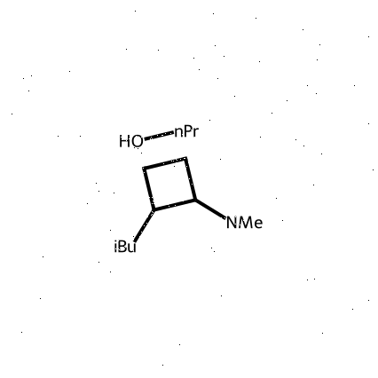 CCC(C)C1CCC1NC.CCCO